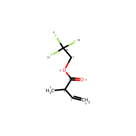 C=CC(C)C(=O)OCC(F)(F)F